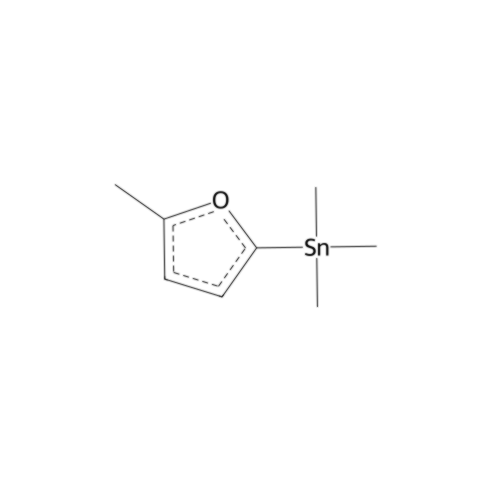 Cc1cc[c]([Sn]([CH3])([CH3])[CH3])o1